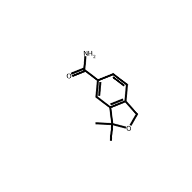 CC1(C)OCc2ccc(C(N)=O)cc21